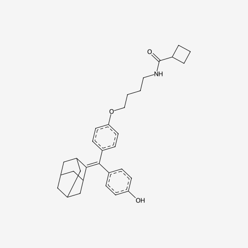 O=C(NCCCCOc1ccc(C(=C2C3CC4CC(C3)CC2C4)c2ccc(O)cc2)cc1)C1CCC1